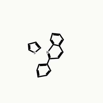 c1ccc(-c2ccc3ccccc3n2)cc1.c1ccsc1